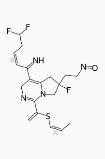 C=C(S/C=C\C)C1=NCC(C(=N)/C=C\CC(F)F)=C2CC(F)(CCN=O)CN12